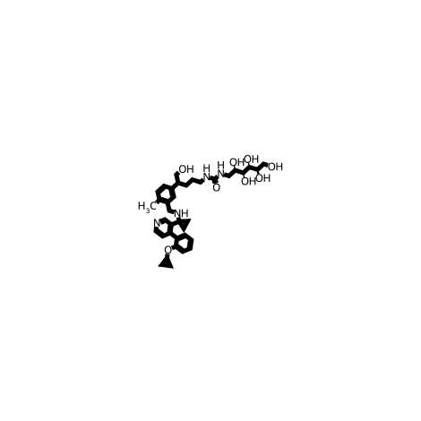 Cc1ccc(C(CO)CCCNC(=O)NC[C@H](O)[C@@H](O)[C@H](O)[C@H](O)CO)cc1CNC1(c2cnccc2-c2ccccc2OC2CC2)CC1